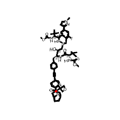 COC(=O)N[C@H](C(=O)N[C@@H](Cc1ccc(C#Cc2ccc(N3CC4CCC(C3)N4C(=O)C3(C)COC3)nc2)cc1)[C@@H](O)CN(Cc1c(F)cc(-c2ccn(C)n2)cc1F)NC(=O)[C@@H](NC(=O)OC)C(C)(C)C)C(C)(C)C